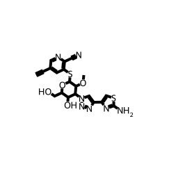 C#Cc1cnc(C#N)c(SC2OC(CO)C(O)C(n3cc(-c4csc(N)n4)nn3)C2OC)c1